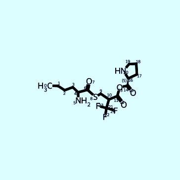 CCCCC(N)C(=O)SCC(C(=O)OC(=O)[C@@H]1CCCN1)C(F)(F)F